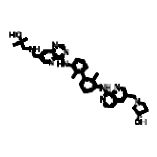 Cc1c(Nc2nccc3cc(CN4CC[C@@H](O)C4)cnc23)cccc1-c1cccc(Nc2ncnc3cc(CNCC(C)(C)O)cnc23)c1C